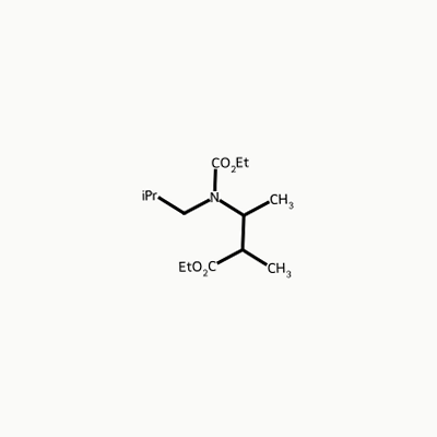 CCOC(=O)C(C)C(C)N(CC(C)C)C(=O)OCC